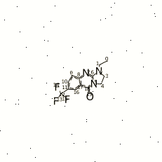 CCN1CCn2c1nc1ccc(C(F)(F)F)cc1c2=O